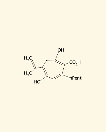 C=C(C)C1=C(O)C=C(CCCCC)C(C(=O)O)=C(O)C1